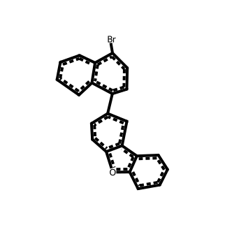 Brc1ccc(-c2ccc3oc4ccccc4c3c2)c2ccccc12